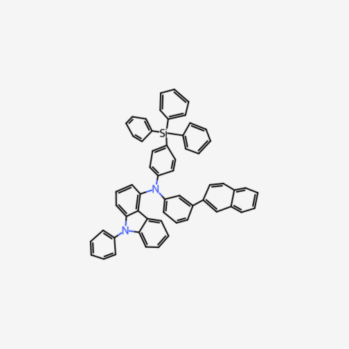 c1ccc(-n2c3ccccc3c3c(N(c4ccc([Si](c5ccccc5)(c5ccccc5)c5ccccc5)cc4)c4cccc(-c5ccc6ccccc6c5)c4)cccc32)cc1